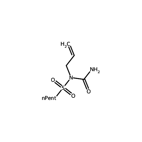 C=CCN(C(N)=O)S(=O)(=O)CCCCC